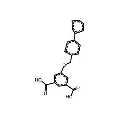 O=C(O)c1cc(OCc2ccc(-c3ccccc3)cc2)cc(C(=O)O)c1